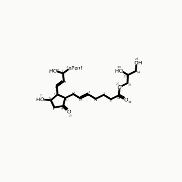 CCCCCC(O)C=CC1C(O)CC(=O)C1CC=CCCCC(=O)OCC(O)CO